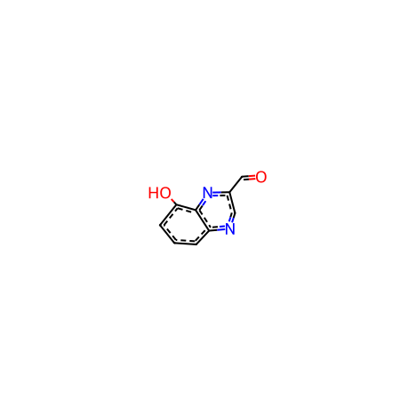 O=Cc1cnc2cccc(O)c2n1